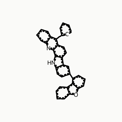 c1ccc(-c2c3ccccc3nc3c2ccc2c4cc(-c5cccc6oc7ccccc7c56)ccc4[nH]c23)cc1